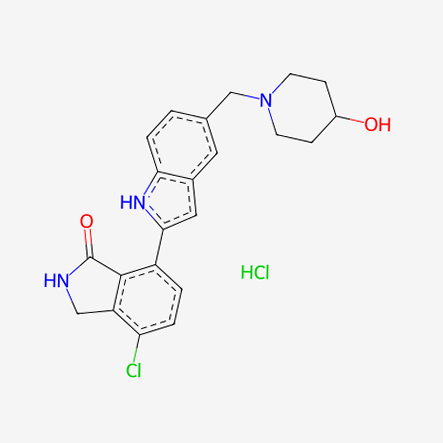 Cl.O=C1NCc2c(Cl)ccc(-c3cc4cc(CN5CCC(O)CC5)ccc4[nH]3)c21